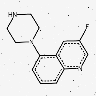 Fc1cnc2cccc(N3CCNCC3)c2c1